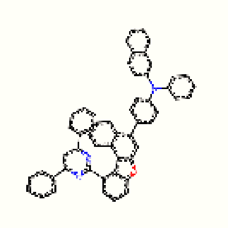 c1ccc(-c2cc(-c3ccccc3)nc(-c3cccc4oc5cc(-c6ccc(N(c7ccccc7)c7ccc8ccccc8c7)cc6)c6ccccc6c5c34)n2)cc1